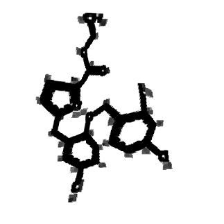 CCOC(=O)c1ccc(Cc2cc(Cl)ccc2OCc2ccc(Cl)cc2F)o1